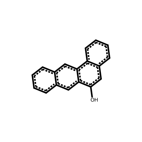 Oc1cc2ccccc2c2cc3ccccc3cc12